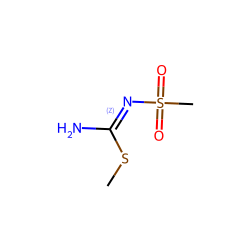 CS/C(N)=N\S(C)(=O)=O